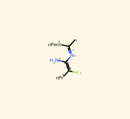 CCCCC/C(C)=N\C(N)=C(/F)CCC